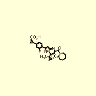 C[C@@H]1CCCCCN1C(=O)c1cc(C2(C)CC2)n2nc(-c3ccc(C4C[C@H]4C(=O)O)cc3F)cc2n1